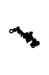 CCOP(=O)(CC1CCN(CC[C@H](CSc2ccccc2)Nc2ccc(S(=O)(=O)NC(=O)c3ccc(N4CCN(Cc5ccccc5-c5ccc(Cl)cc5)CC4)cc3)cc2S(=O)(=O)C(F)(F)F)CC1)OCOC(=O)C(C)(C)C